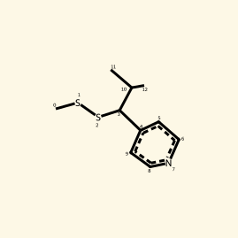 CSSC(c1ccncc1)C(C)C